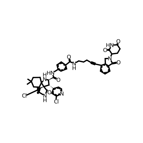 CC1(C)CCC2(CC1)N[C@@H](C(=O)Nc1ccc(C(=O)NCCCC#Cc3cccc4c3CN(C3CCC(=O)NC3=O)C4=O)cc1)[C@H](c1ccnc(Cl)c1)[C@]21C(=O)Nc2cc(Cl)ccc21